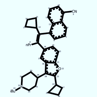 CCCC(=C(c1cccc2c(C#N)cccc12)C1CCC1)c1ccc2oc(C3CCC3)c(C3CCN(C(C)CC)CC3)c2c1